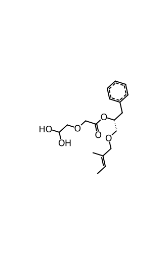 C/C=C(\C)COC[C@@H](Cc1ccccc1)OC(=O)COCC(O)O